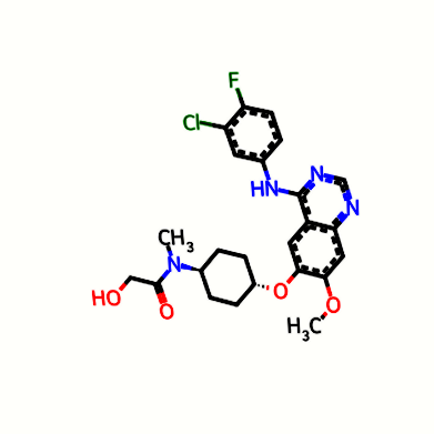 COc1cc2ncnc(Nc3ccc(F)c(Cl)c3)c2cc1O[C@H]1CC[C@H](N(C)C(=O)CO)CC1